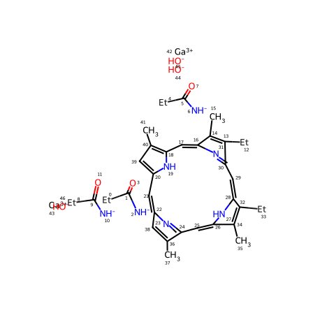 CCC([NH-])=O.CCC([NH-])=O.CCC([NH-])=O.CCC1=C(C)c2cc3[nH]c(cc4nc(cc5[nH]c(cc1n2)c(CC)c5C)C(C)=C4)cc3C.[Ga+3].[Ga+3].[OH-].[OH-].[OH-]